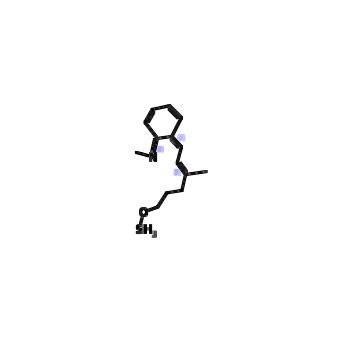 C\N=C1/C=CC=C/C1=C/C=C(\C)CCCO[SiH3]